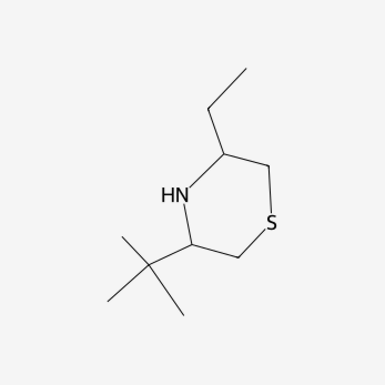 CCC1CSCC(C(C)(C)C)N1